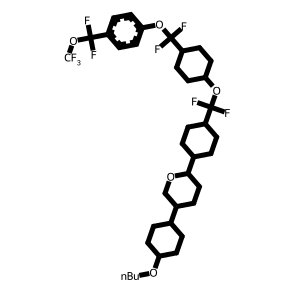 CCCCOC1CCC(C2CCC(C3CCC(C(F)(F)OC4CCC(C(F)(F)Oc5ccc(C(F)(F)OC(F)(F)F)cc5)CC4)CC3)OC2)CC1